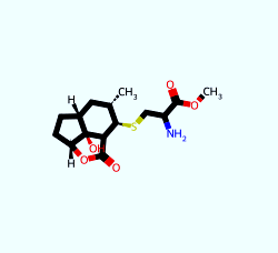 COC(=O)C(N)CS[C@H]1C2C(=O)O[C@@H]3CC[C@H](C[C@@H]1C)[C@]23O